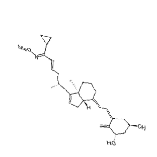 C=C1/C(=C\C=C2/CCC[C@]3(C)C([C@H](C)C/C=C/C(=NOC)C4CC4)=CC[C@@H]23)C[C@@H](O)C[C@@H]1O